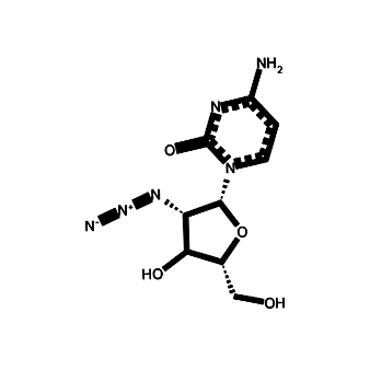 [N-]=[N+]=N[C@H]1C(O)[C@@H](CO)O[C@H]1n1ccc(N)nc1=O